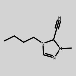 CCCCN1C=NN(C)C1C#N